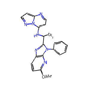 COc1ccc2nc(C(C)Nc3ccnc4ccnn34)n(-c3ccccc3)c2n1